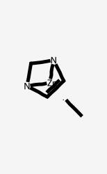 C1=C[N]2C[N]1[Zn]2.[CH2]C